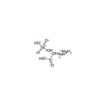 O=C(O)O.O=[Se](=O)(O)O.[MgH2].[NaH]